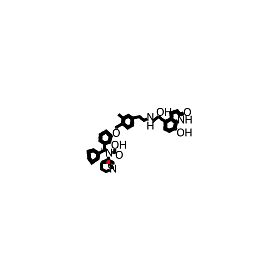 Cc1cc(CCNCC(O)c2ccc(O)c3[nH]c(=O)ccc23)ccc1COc1cccc([C@H](c2ccccc2)N(C(=O)O)C2CN3CCC2CC3)c1